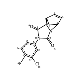 O=C1C2C3C=CC(C3)C2C(=O)N1c1ccc(F)c(Cl)c1